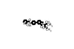 COC(=O)C(C(C)C)N1Cc2ccc(-c3ccc(NC(=O)c4cccnc4Cl)cc3)cc2C1=O